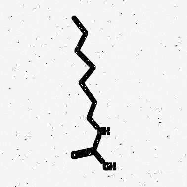 CCCCCCCNC(=O)O